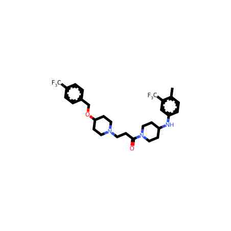 Cc1ccc(NC2CCN(C(=O)CCN3CCC(OCc4ccc(C(F)(F)F)cc4)CC3)CC2)cc1C(F)(F)F